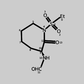 CCS(=O)(=O)N1CCCC[C@H](NC=O)C1=O